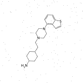 C[C@@H]1CN(c2cccc3sccc23)CCN1CCC1CCC(N)CC1